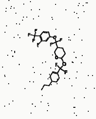 CCCC1CC=C(C(F)(F)OC2CCC(C(F)(F)Oc3ccc(C(F)(F)F)c(F)c3)CO2)CC1